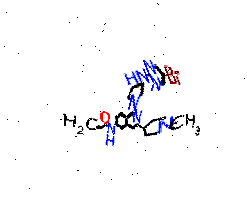 C=CC(=O)Nc1ccc2c(N3CCC(Nc4ncc(Br)cn4)C3)nc(C3CCN(C)CC3)cc2c1